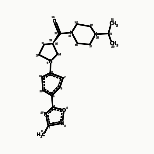 Cc1noc(-c2ccc(N3CC[C@@H](C(=O)N4CCN(C(C)C)CC4)C3)cc2)n1